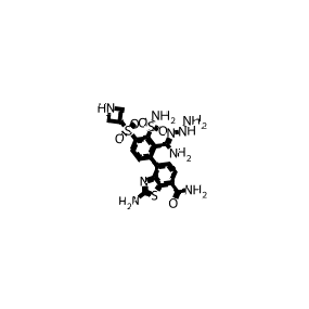 NN/N=C(\N)c1c(-c2ccc(C(N)=O)c3sc(N)nc23)ccc(S(=O)(=O)C2CNC2)c1S(N)(=O)=O